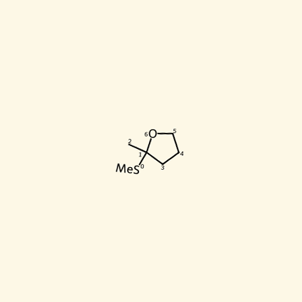 CSC1(C)CCCO1